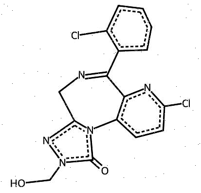 O=c1n(CO)nc2n1-c1ccc(Cl)nc1C(c1ccccc1Cl)=NC2